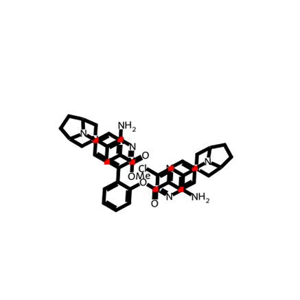 COC(=O)c1ccc(N2C3CCC2CN(c2cc(-c4ccccc4OC(=O)c4ccc(N5C6CCC5CN(c5cc(Cl)nnc5N)C6)cn4)nnc2N)C3)cn1